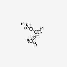 CCOc1cc(C)[nH]c(=O)c1CNC(=O)c1cc(-c2ccc(C(=O)NC(C)(C)C)cc2)cc2c(C(C)C)ncn12